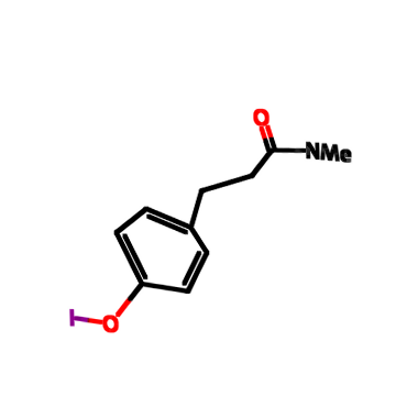 CNC(=O)CCc1ccc(OI)cc1